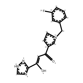 O=C(C=C(O)c1nc[nH]n1)c1ccn(Cc2cccc(F)c2)c1